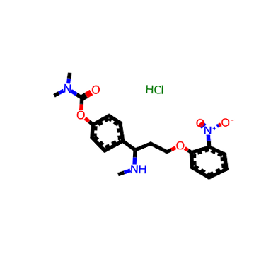 CNC(CCOc1ccccc1[N+](=O)[O-])c1ccc(OC(=O)N(C)C)cc1.Cl